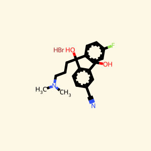 Br.CN(C)CCCC(O)(c1ccc(F)cc1)c1ccc(C#N)cc1CO